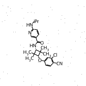 CC(C)Nc1ccc(C(=O)N[C@H]2C(C)(C)[C@H](Oc3ccc(C#N)c(Cl)c3)C2(C)C)cn1